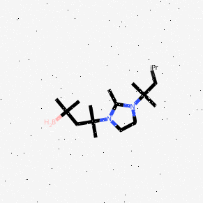 BC(C)(C)CC(C)(C)N1CCN(C(C)(C)CC(C)C)C1C